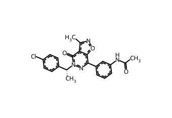 CC(=O)Nc1cccc(-c2nn([C@H](C)c3ccc(Cl)cc3)c(=O)c3c(C)noc23)c1